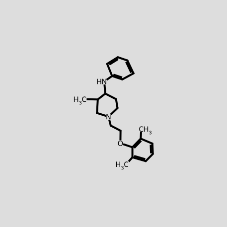 Cc1cccc(C)c1OCCN1CCC(Nc2ccccc2)C(C)C1